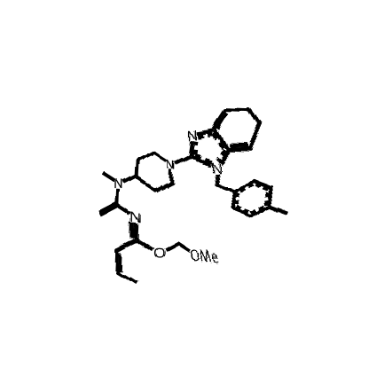 C=C(/N=C(\C=C/C)OCOC)N(C)C1CCN(c2nc3c(n2Cc2ccc(C)cc2)=CCCC=3)CC1